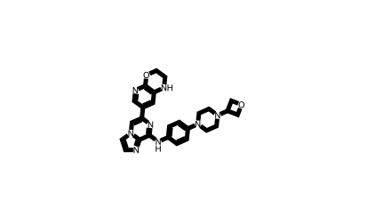 c1cn2cc(-c3cnc4c(c3)NCCO4)nc(Nc3ccc(N4CCN(C5COC5)CC4)cc3)c2n1